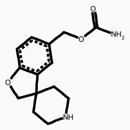 NC(=O)OCc1ccc2c(c1)C1(CCNCC1)CO2